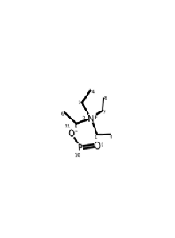 CC[N+](CC)(CC)CC.O=P[O-]